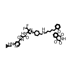 O=C1NC(=O)c2c(Oc3ccccc3CCCCCNCC3CCC(n4cc(NC(=O)c5coc(-c6ccnc(NCC7CC7)c6)n5)c(C(F)F)n4)CC3)cccc2C1=O